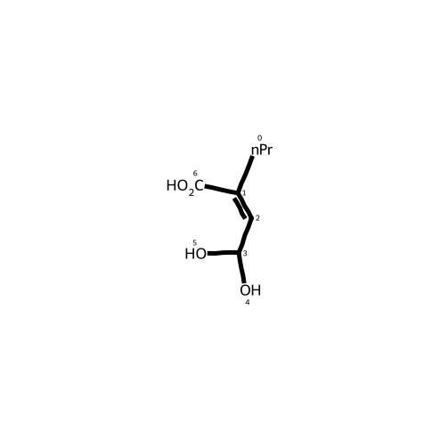 CCCC(=CC(O)O)C(=O)O